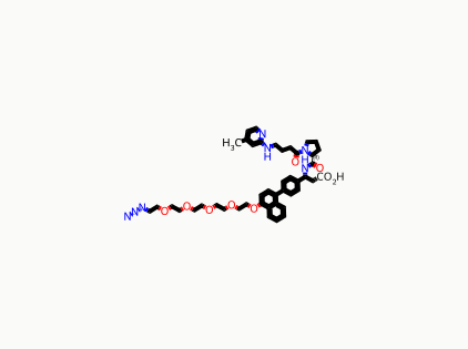 Cc1ccnc(NCCCC(=O)N2CCC[C@@H]2C(=O)NC(CC(=O)O)c2ccc(-c3ccc(OCCOCCOCCOCCOCCN=[N+]=[N-])c4ccccc34)cc2)c1